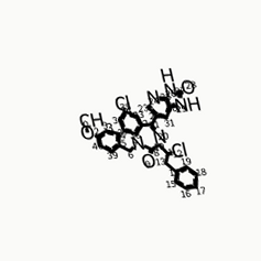 COc1ccc(CN2C(=O)C(C(Cl)Cc3ccccc3)N=C(c3cnc4[nH]c(=O)[nH]c4c3)c3cc(Cl)ccc32)cc1